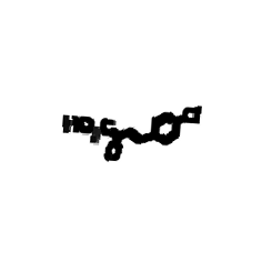 O=C(O)C(=O)C=Cc1ccc(Cl)cc1